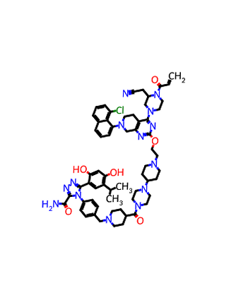 C=CC(=O)N1CCN(c2nc(OCCN3CCC(N4CCN(C(=O)C5CCN(Cc6ccc(-n7c(C(N)=O)nnc7-c7cc(C(C)C)c(O)cc7O)cc6)CC5)CC4)CC3)nc3c2CCN(c2cccc4cccc(Cl)c24)C3)CC1CC#N